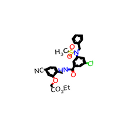 CCOC(=O)COc1cc(C#N)ccc1CNC(=O)c1cc(Cl)cc(N(Cc2ccccc2)S(C)(=O)=O)c1